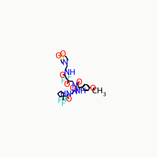 COc1ccc([C@H](NC(=O)CNC(=O)C2(C(F)(F)F)CCCC2)C(=O)NCC(=O)C(F)(F)C(=O)NCCN2CCS(=O)(=O)CC2)cc1